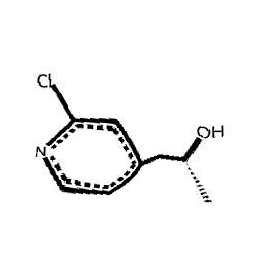 C[C@@H](O)c1ccnc(Cl)c1